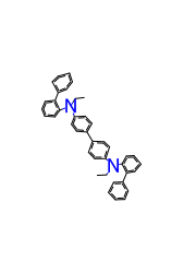 CCN(c1ccc(-c2ccc(N(CC)c3ccccc3-c3ccccc3)cc2)cc1)c1ccccc1-c1ccccc1